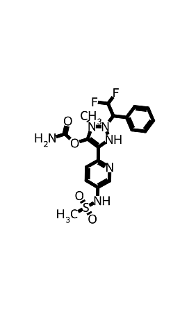 CN1C(OC(N)=O)=C(c2ccc(NS(C)(=O)=O)cn2)NN1C(c1ccccc1)C(F)F